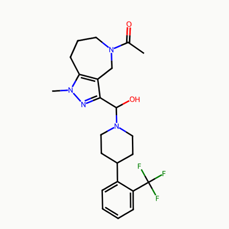 CC(=O)N1CCCc2c(c(C(O)N3CCC(c4ccccc4C(F)(F)F)CC3)nn2C)C1